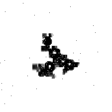 C[C@]1(C(N)=O)CC[C@H](n2c(Nc3c(F)cc(F)cc3F)nc3cnc(NC4CC(F)(F)C4)nc32)CC1